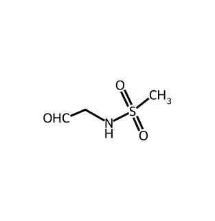 CS(=O)(=O)NCC=O